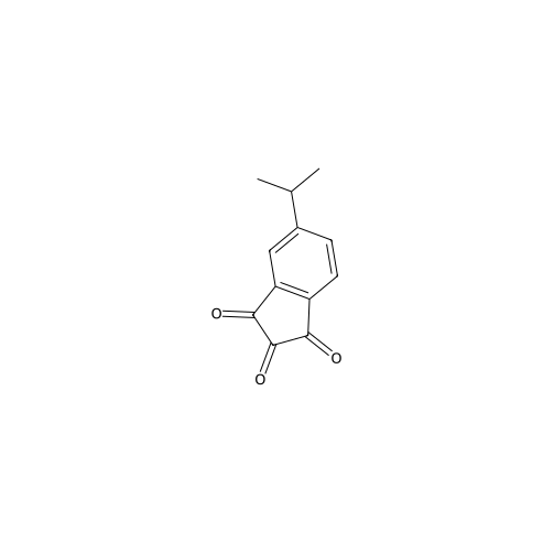 CC(C)c1ccc2c(=O)c(=O)c(=O)c2c1